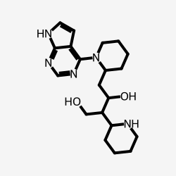 OCC(C(O)CC1CCCCN1c1ncnc2[nH]ccc12)C1CCCCN1